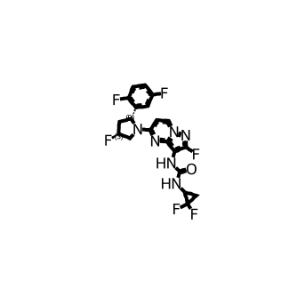 O=C(Nc1c(F)nn2ccc(N3C[C@@H](F)C[C@@H]3c3cc(F)ccc3F)nc12)NC1CC1(F)F